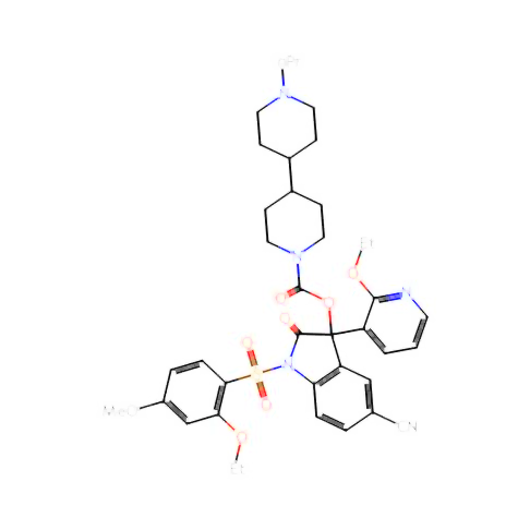 CCCN1CCC(C2CCN(C(=O)OC3(c4cccnc4OCC)C(=O)N(S(=O)(=O)c4ccc(OC)cc4OCC)c4ccc(C#N)cc43)CC2)CC1